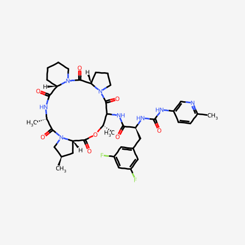 Cc1ccc(NC(=O)N[C@@H](Cc2cc(F)cc(F)c2)C(=O)NC2C(=O)N3CCC[C@H]3C(=O)N3CCCC[C@H]3C(=O)N[C@@H](C)C(=O)N3C[C@H](C)C[C@H]3C(=O)O[C@H]2C)cn1